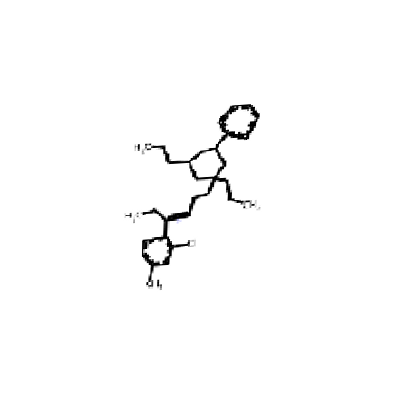 CCCC1CC(c2ccccc2)CC(CCC)(CC/C=C(\CC)c2ccc(C)cc2Cl)C1